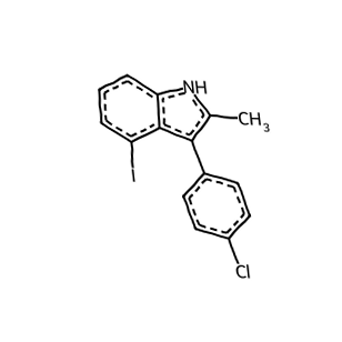 Cc1[nH]c2cccc(I)c2c1-c1ccc(Cl)cc1